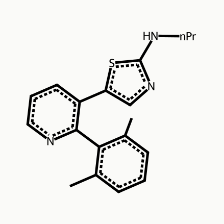 CCCNc1ncc(-c2cccnc2-c2c(C)cccc2C)s1